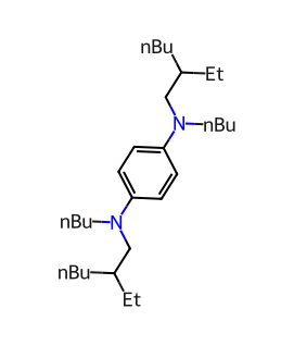 CCCCC(CC)CN(CCCC)c1ccc(N(CCCC)CC(CC)CCCC)cc1